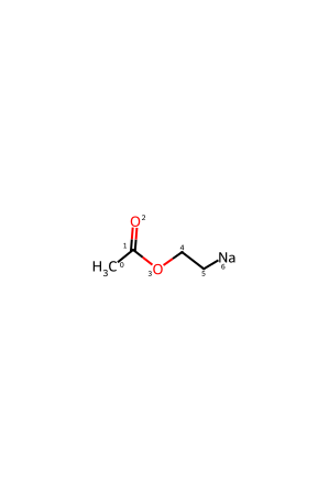 CC(=O)OC[CH2][Na]